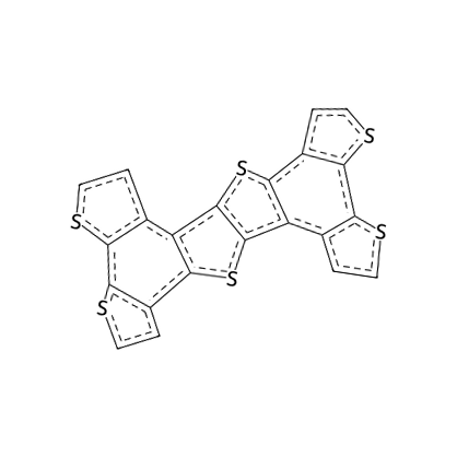 c1cc2c(s1)c1sccc1c1c2sc2c1sc1c3ccsc3c3sccc3c12